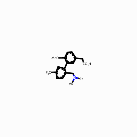 CCN(Cc1ccc(C(F)(F)F)cc1-c1cc(CC(=O)O)ccc1OC)C(C)=O